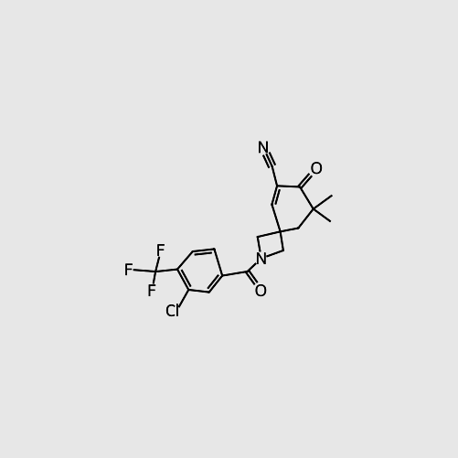 CC1(C)CC2(C=C(C#N)C1=O)CN(C(=O)c1ccc(C(F)(F)F)c(Cl)c1)C2